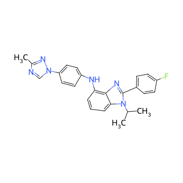 Cc1ncn(-c2ccc(Nc3cccc4c3nc(-c3ccc(F)cc3)n4C(C)C)cc2)n1